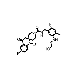 CCN1c2ccc(F)cc2C(=O)CC12CCN(C(=O)NCc1cc(NCCO)c(F)cc1F)CC2